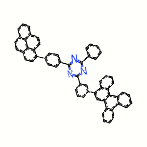 c1ccc(-c2nc(-c3ccc(-c4ccc5ccc6cccc7ccc4c5c67)cc3)nc(-c3cccc(-c4cc5c6ccccc6c6ccccc6c5c5ccccc45)c3)n2)cc1